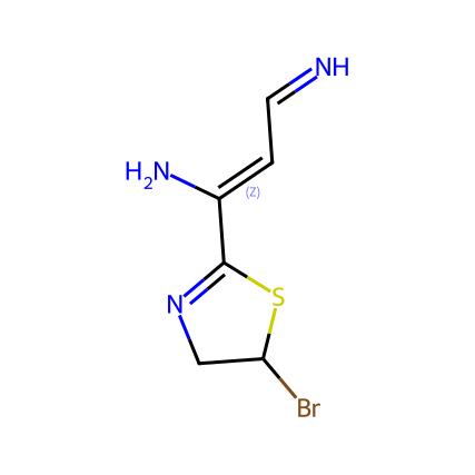 N=C/C=C(\N)C1=NCC(Br)S1